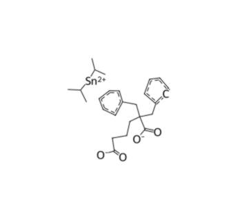 C[CH](C)[Sn+2][CH](C)C.O=C([O-])CCCC(Cc1ccccc1)(Cc1ccccc1)C(=O)[O-]